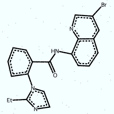 CCc1nccn1-c1ccccc1C(=O)Nc1cccc2cc(Br)cnc12